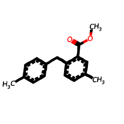 COC(=O)c1cc(C)ccc1Cc1ccc(C)cc1